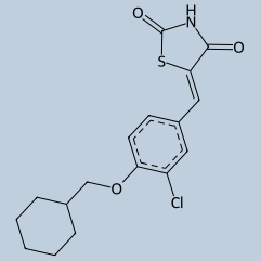 O=C1NC(=O)/C(=C/c2ccc(OCC3CCCCC3)c(Cl)c2)S1